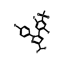 CS(=O)(=O)c1cc(F)c(-c2cc(C(F)F)nn2-c2ccc(F)cc2)cc1F